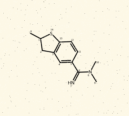 CC1Cc2cc(C(=N)N(C)C)ccc2S1